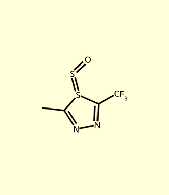 CC1=NN=C(C(F)(F)F)S1=S=O